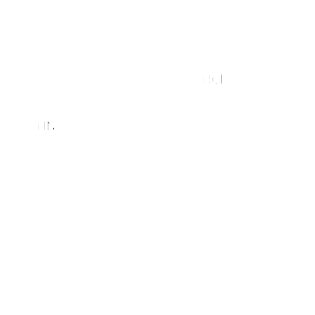 C(#Cc1cccc2c1CCNCC2)CC1CCCC1.Cl